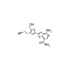 N#CCCc1cc(-c2cc3c(N)ncc(C(N)=O)c3s2)sc1CO